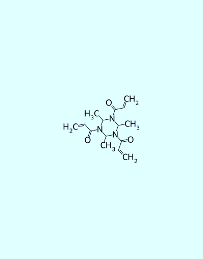 C=CC(=O)N1C(C)N(C(=O)C=C)C(C)N(C(=O)C=C)C1C